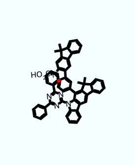 CC1(C)c2ccccc2-c2cc3c4cc(-c5c6c(cc7c8ccccc8n(-c8nc(-c9ccccc9)nc(-c9ccccc9)n8)c57)-c5ccccc5C6(C)C)ccc4n(C(=O)O)c3cc21